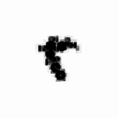 NC(=O)c1ccc(Oc2cc(O)cc(O)c2-c2cc(C(=O)NC3CCN(C4CCCCC4)CC3)no2)cc1